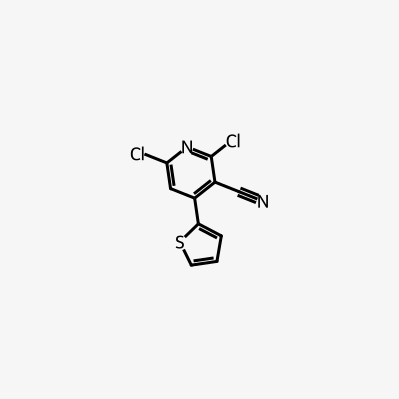 N#Cc1c(-c2cccs2)cc(Cl)nc1Cl